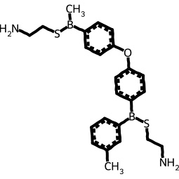 CB(SCCN)c1ccc(Oc2ccc(B(SCCN)c3cccc(C)c3)cc2)cc1